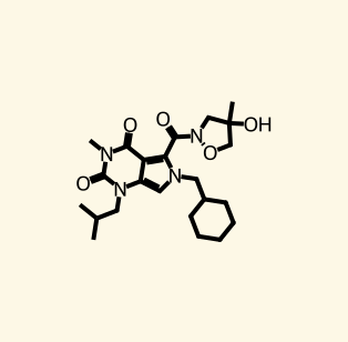 CC(C)Cn1c(=O)n(C)c(=O)c2c(C(=O)N3CC(C)(O)CO3)n(CC3CCCCC3)cc21